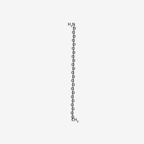 CCOCCOCCOCCOCCOCCOCCOCCOCCOCCOCCOCCOCCOCCOCCOCCOCCOCCOCCOCCOCCOCCOCCOCCN